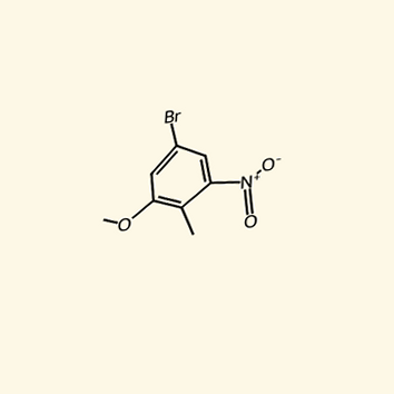 COc1cc(Br)cc([N+](=O)[O-])c1C